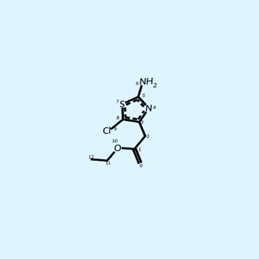 C=C(Cc1nc(N)sc1Cl)OCC